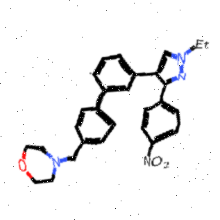 CCn1cc(-c2cc[c]c(-c3ccc(CN4CCOCC4)cc3)c2)c(-c2ccc([N+](=O)[O-])cc2)n1